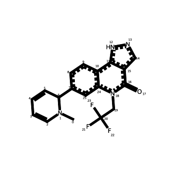 CN1C=CC=CC1c1ccc2c3[nH]ncc3c(=O)n(CC(F)(F)F)c2c1